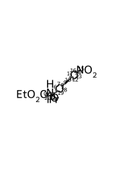 CCOC(=O)[C@@H](NC(=O)c1ccc(C#Cc2ccc([N+](=O)[O-])cc2)cc1)C(C)C